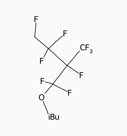 CCC(C)OC(F)(F)C(F)(C(F)(F)F)C(F)(F)CF